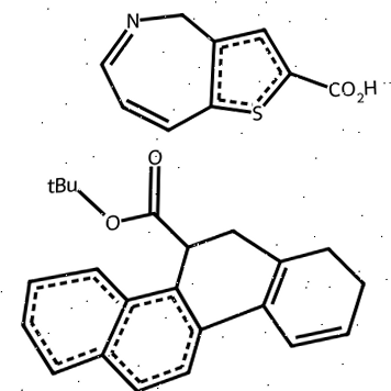 CC(C)(C)OC(=O)C1CC2=C(C=CCC2)c2ccc3ccccc3c21.O=C(O)c1cc2c(s1)C=CC=NC2